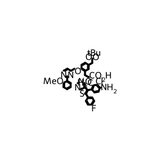 COc1ccccc1-c1nccc(COc2ccc(CC(=O)OC(C)(C)C)cc2CC(Oc2ncnc3sc(-c4ccc(F)cc4)c(-c4ccc(N)c(Cl)c4C)c23)C(=O)O)n1